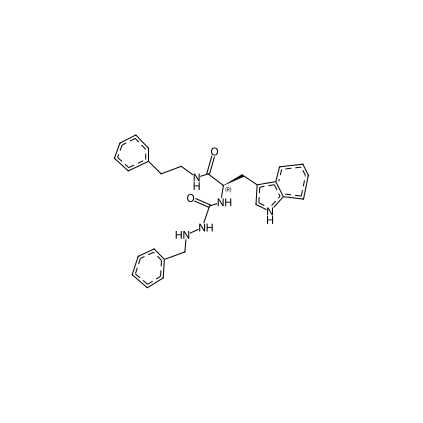 O=C(NNCc1ccccc1)N[C@H](Cc1c[nH]c2ccccc12)C(=O)NCCc1ccccc1